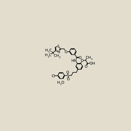 CC(Oc1ccc(CCCS(=O)(=O)c2ccc(Cl)cc2)cc1NC(=O)c1cccc(OCc2nc(C(C)(C)C)cs2)c1)C(=O)O.O